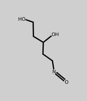 O=NCCC(O)CCO